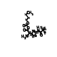 CCCCOC(=O)OC(=O)C(N)c1csc(NC(=O)C(F)(F)F)n1